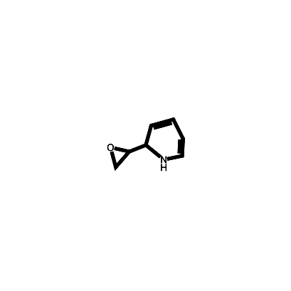 C1=CN[C](C2CO2)C=C1